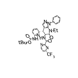 CCN1C(=O)[C@@H](NC(=O)c2nccc(C(F)(F)F)n2)[C@H](c2cccc(NC(=O)OC(C)(C)C)n2)c2cnn(-c3ccccc3)c21